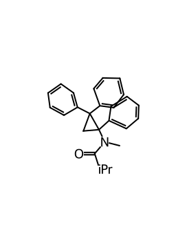 CC(C)C(=O)N(C)C1(c2ccccc2)CC1(c1ccccc1)c1ccccc1